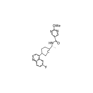 COc1ncc(C(=O)N[C@H](C)C2CCC(c3ccnc4ccc(F)cc34)CC2)cn1